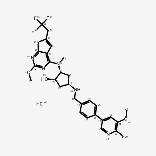 COc1nc(N(C)[C@H]2C[C@@H](NCc3ccc(-c4cnc(F)c(OC)c4)cc3)C[C@H]2O)c2cc(CC(F)(F)F)sc2n1.Cl